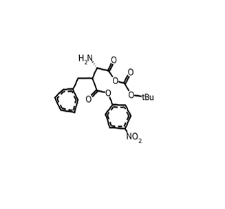 CC(C)(C)OC(=O)OC(=O)[C@@H](N)C(Cc1ccccc1)C(=O)Oc1ccc([N+](=O)[O-])cc1